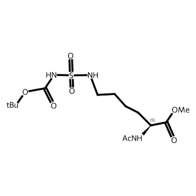 COC(=O)[C@H](CCCCNS(=O)(=O)NC(=O)OC(C)(C)C)NC(C)=O